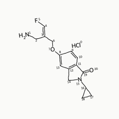 Cl.NC/C(=C\F)COc1ccc2c(c1)CN(C1CC1)C2=O